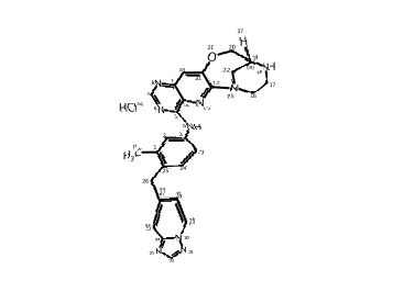 Cc1cc(Nc2ncnc3cc4c(nc23)N2CCN[C@@H](CO4)C2)ccc1Cc1ccn2ncnc2c1.Cl